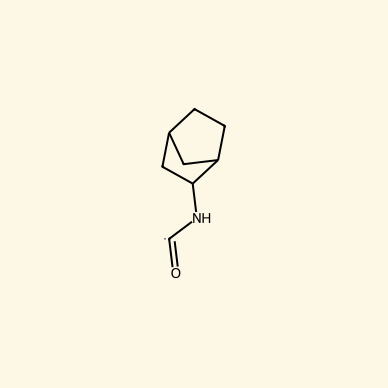 O=[C]NC1CC2CCC1C2